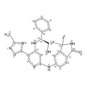 Cc1noc(-c2cnc(Nc3ccc4c(c3)C(F)(F)NC4=O)cc2N[C@H](CO)c2ccccc2)n1